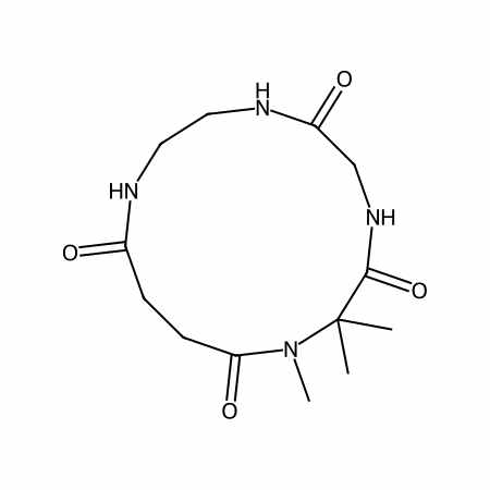 CN1C(=O)CCC(=O)NCCNC(=O)CNC(=O)C1(C)C